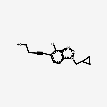 OCCC#Cc1ccc2c(nnn2CC2CC2)c1Cl